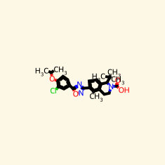 Cc1c(-c2noc(-c3ccc(OC(C)C)c(Cl)c3)n2)ccc2c1CCN(C(=O)O)C2C(C)(C)C